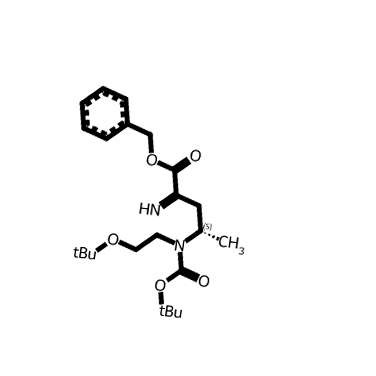 C[C@@H](CC(=N)C(=O)OCc1ccccc1)N(CCOC(C)(C)C)C(=O)OC(C)(C)C